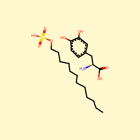 CCCCCCCCCCCCOS(=O)(=O)O.N[C@@H](Cc1ccc(O)c(O)c1)C(=O)O